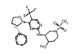 CS(=O)(=O)N1CCC(O)C(Nc2ncc(C(F)(F)F)c(N3OCC[C@H]3c3ccccc3)n2)C1